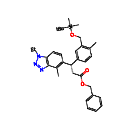 CCn1nnc2c(C)c([C@@H](CC(=O)OCc3ccccc3)c3ccc(C)c(CO[Si](C)(C)C(C)(C)C)c3)ccc21